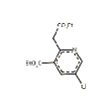 CCOC(=O)Cc1ncc(Cl)cc1C(=O)OCC